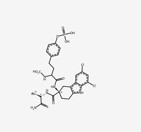 CC[C@H](C)[C@H](NC(=O)[C@@]1(NC(=O)C(CCc2ccc(OP(=O)(O)O)cc2)NC(=O)O)CCc2[nH]c3c(Cl)cc(Cl)cc3c2C1)C(N)=S